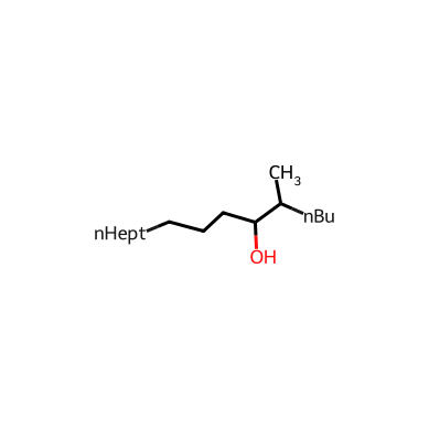 CCCCCCCCCCC(O)C(C)CCCC